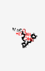 COC(=O)/C(O)=C(\O)C(O)/C=C\C[C@H]1CCC[C@@H]1/C=C/CCOc1ccccc1